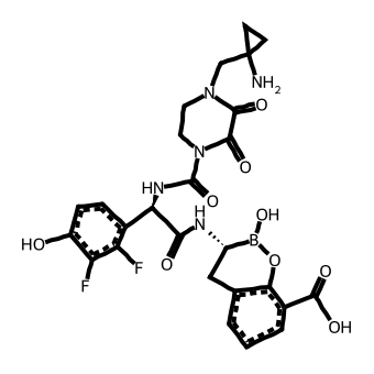 NC1(CN2CCN(C(=O)N[C@@H](C(=O)N[C@H]3Cc4cccc(C(=O)O)c4OB3O)c3ccc(O)c(F)c3F)C(=O)C2=O)CC1